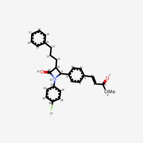 COC(=O)C=Cc1ccc(C2C(CCCc3ccccc3)C(=O)N2c2ccc(F)cc2)cc1